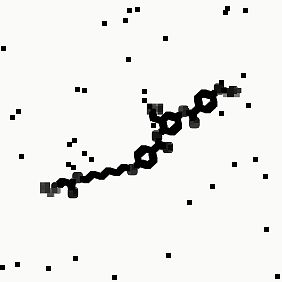 C=CC(=O)OCCCCCCOc1ccc(C(=O)Oc2ccc(OC(=O)c3ccc(OCCC)cc3)cc2C=N)cc1